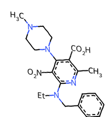 CCN(Cc1ccccc1)c1nc(C)c(C(=O)O)c(N2CCN(C)CC2)c1[N+](=O)[O-]